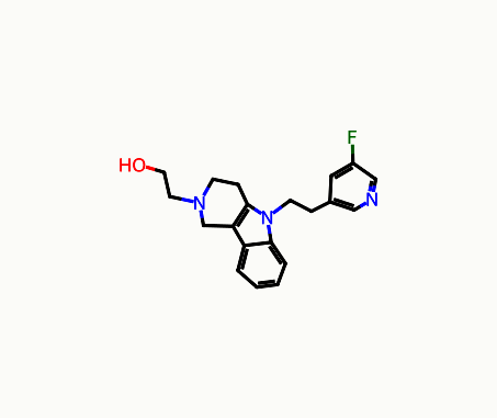 OCCN1CCc2c(c3ccccc3n2CCc2cncc(F)c2)C1